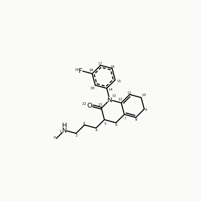 CNCCCC1CC2=CCCC=C2N(c2cccc(F)c2)C1=O